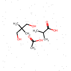 CC(=O)O.CC(C)(CO)CO.CC(C)C(=O)O